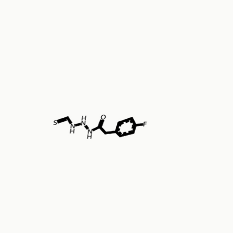 O=C(Cc1ccc(F)cc1)NNNC=S